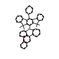 CC1(C)c2ccccc2-c2c(-c3ccccc3)c3c(c(N(c4cccc(-c5ccccc5)c4)c4ccccc4-c4ccccc4)c21)C(C)(C)c1ccccc1-3